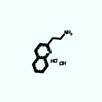 Cl.Cl.NCCc1ccc2ccccc2n1